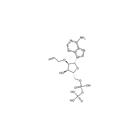 C=CCO[C@@H]1[C@H](O)[C@@H](COP(=O)(O)OP(=O)(O)O)O[C@H]1n1cnc2c(N)ncnc21